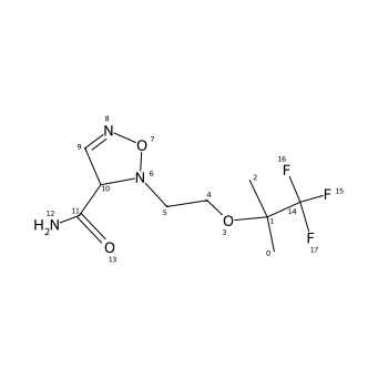 CC(C)(OCCN1ON=CC1C(N)=O)C(F)(F)F